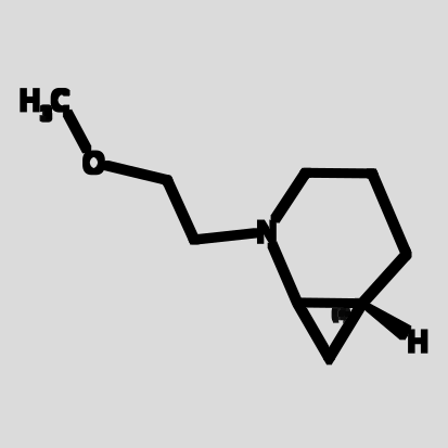 COCCN1CCC[C@@H]2CC21